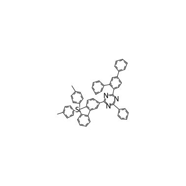 Cc1ccc([Si]2(c3ccc(C)cc3)c3ccccc3-c3cc(-c4nc(-c5ccccc5)nc(-c5ccc(-c6ccccc6)cc5-c5ccccc5)n4)ccc32)cc1